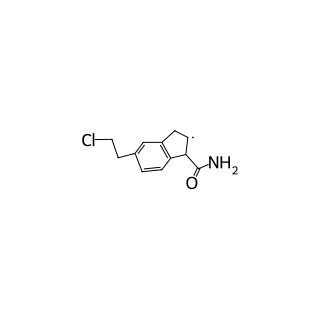 NC(=O)C1[CH]Cc2cc(CCCl)ccc21